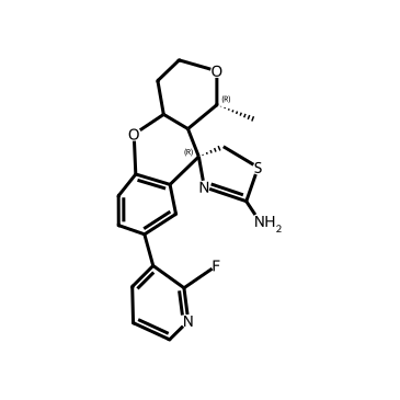 C[C@H]1OCCC2Oc3ccc(-c4cccnc4F)cc3[C@@]3(CSC(N)=N3)C21